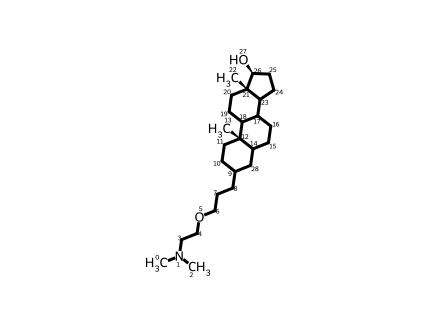 CN(C)CCOCCCC1CC[C@@]2(C)C(CCC3C2CC[C@@]2(C)C3CC[C@@H]2O)C1